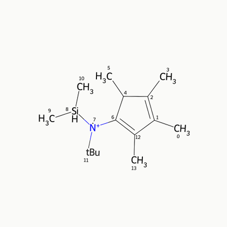 CC1=C(C)C(C)C([N+]([SiH](C)C)C(C)(C)C)=C1C